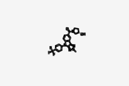 Cn1nc2c3cc(C(=O)N4CC[C@H](O)C4)ccc3n(-c3ccc(C(F)(F)F)cc3)c2n1